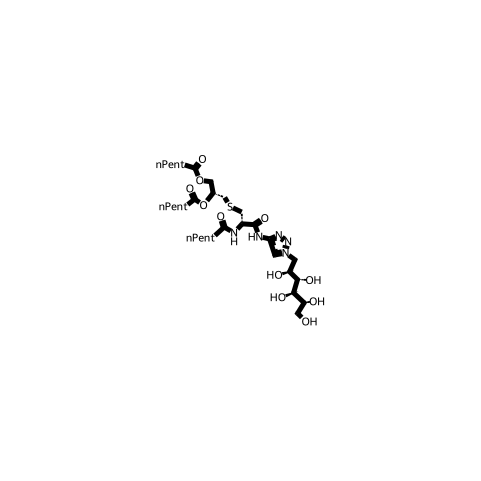 CCCCCC(=O)N[C@H](CSC[C@@H](COC(=O)CCCCC)OC(=O)CCCCC)C(=O)Nc1cn(C[C@H](O)[C@H](O)[C@H](O)[C@H](O)CO)nn1